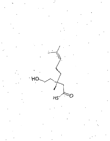 CC(C)=CCC[C@@](C)(CCO)CC(=O)S